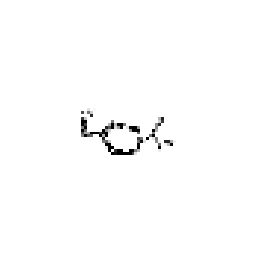 [CH]=Cc1ccc(C(=O)OC)cc1